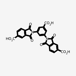 O=C(O)c1cc(N2C(=O)c3ccc(C(=O)O)cc3C2=O)cc(N2C(=O)c3ccc(C(=O)O)cc3C2=O)c1